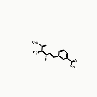 C=C(C=O)/C(N)=C(F)\C=C\c1cccc(C(N)=O)c1